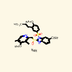 COc1ccc2nc([S+]([O-])Cc3ncc(C)c(OC)c3C)n(S(=O)(=O)c3ccc(OC)c(CCC(=O)O)c3)c2c1.[NaH]